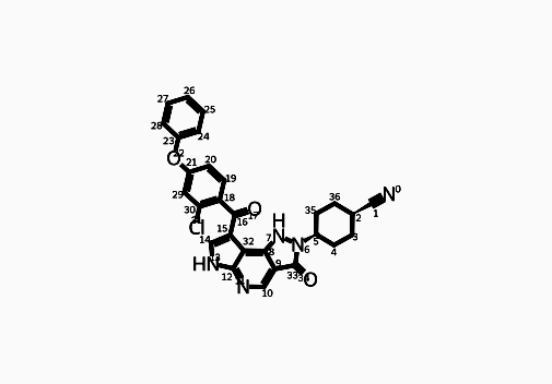 N#C[C@H]1CC[C@@H](n2[nH]c3c(cnc4[nH]cc(C(=O)c5ccc(Oc6ccccc6)cc5Cl)c43)c2=O)CC1